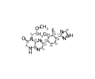 COCCN1C(=O)CNc2ncc(-c3ccc(-c4nc[nH]n4)c(F)c3C)nc21